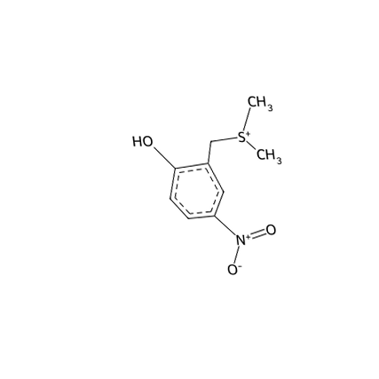 C[S+](C)Cc1cc([N+](=O)[O-])ccc1O